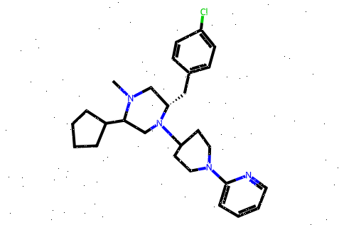 CN1C[C@H](Cc2ccc(Cl)cc2)N(C2CCN(c3ccccn3)CC2)CC1C1CCCC1